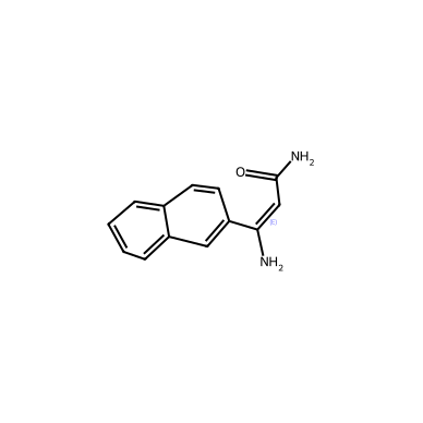 NC(=O)/C=C(/N)c1ccc2ccccc2c1